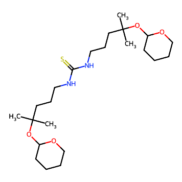 CC(C)(CCCNC(=S)NCCCC(C)(C)OC1CCCCO1)OC1CCCCO1